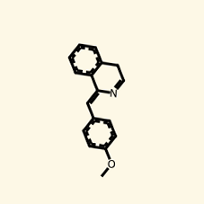 COc1ccc(C=C2N=CCc3ccccc32)cc1